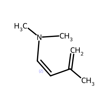 C=C(C)/C=C\N(C)C